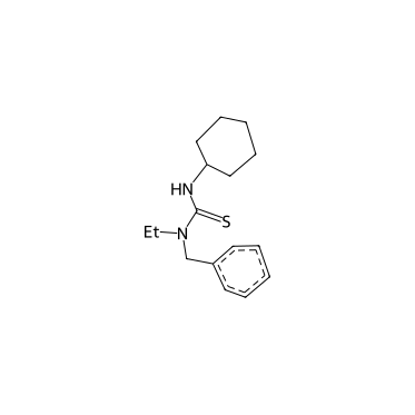 CCN(Cc1ccccc1)C(=S)NC1CCCCC1